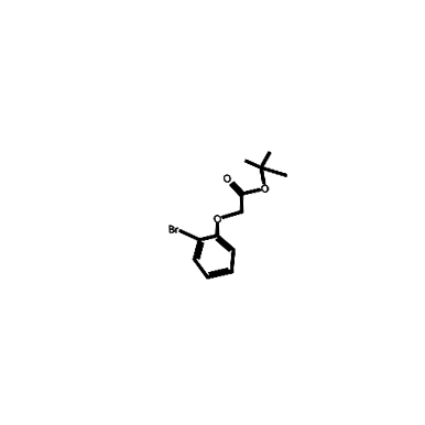 CC(C)(C)OC(=O)COc1ccccc1Br